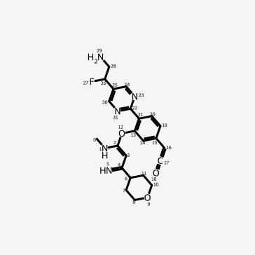 CN/C(=C\C(=N)C1CCOCC1)Oc1cc(C=C=O)ccc1-c1ncc(C(F)CN)cn1